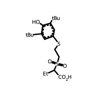 CCC(C(=O)O)S(=O)(=O)CCSc1cc(C(C)(C)C)c(O)c(C(C)(C)C)c1